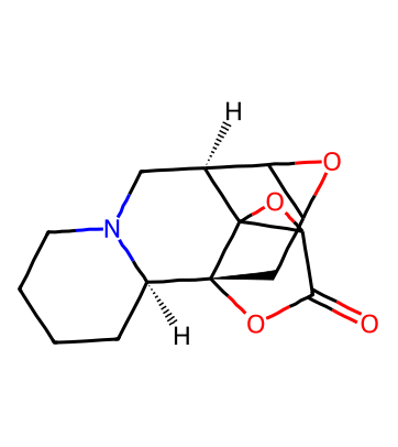 O=C1O[C@]23CC4OC4[C@H](CN4CCCC[C@@H]42)C32OC12